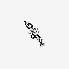 CN1CCC(NC(=O)Nc2cccc3c2ccn3CC(F)(F)F)CC1